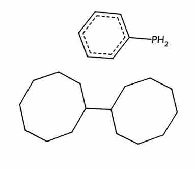 C1CCCC(C2CCCCCCC2)CCC1.Pc1ccccc1